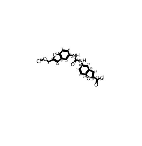 O=C(Nc1ccc2oc(COCl)cc2c1)Nc1ccc2oc(C(=O)Cl)cc2c1